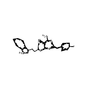 Nc1nc(-c2ccc(F)cc2)nc2sc(CCc3c[nH]c4ccccc34)nc12